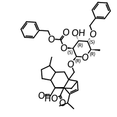 CC(C)C1=CC2CC3(C=O)C4CCC(C)C4CC2(CO[C@@H]2O[C@H](C)[C@@H](OCc4ccccc4)[C@@H](O)[C@@H]2OC(=O)OCc2ccccc2)C13C(=O)O